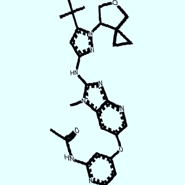 CC(=O)Nc1cc(Oc2cnc3nc(Nc4cc(C(C)(C)C)n(C5COCC56CC6)n4)n(C)c3c2)ccn1